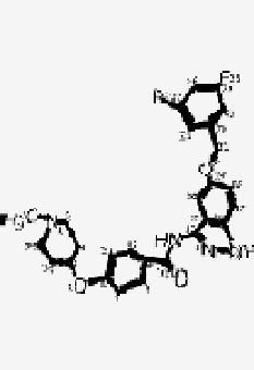 CN1CCC(Oc2ccc(C(=O)Nc3n[nH]c4ccc(OCc5cc(F)cc(F)c5)cc34)cc2)CC1